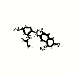 CNc1ccc(N=Nc2cc3c(C)cc(C)cc3cc2C)c(NC(N)=O)c1